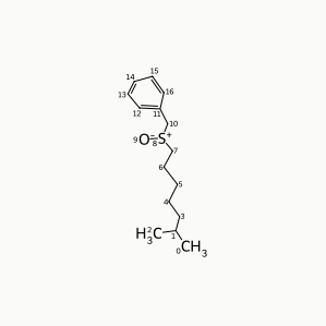 CC(C)CCCCC[S+]([O-])Cc1ccccc1